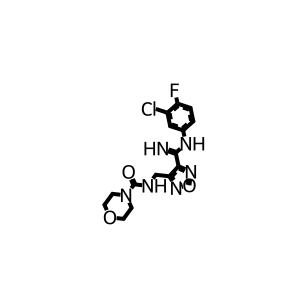 N=C(Nc1ccc(F)c(Cl)c1)c1nonc1CNC(=O)N1CCOCC1